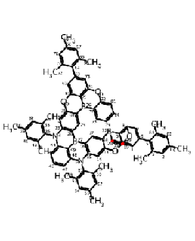 Cc1cc(C)c(-c2cc3c4c(c2)Oc2cc5c(cc2B4c2ccccc2O3)B2c3cc4c(cc3N(c3c(C)cc(C)cc3C)c3cccc(c32)N5c2c(C)cc(C)cc2C)Oc2cc(-c3c(C)cc(C)cc3C)cc3c2B4c2ccccc2O3)c(C)c1